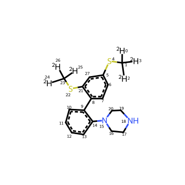 [2H]C([2H])([2H])Sc1ccc(-c2ccccc2N2CCNCC2)c(SC([2H])([2H])[2H])c1